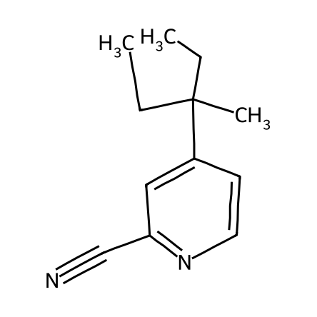 CCC(C)(CC)c1ccnc(C#N)c1